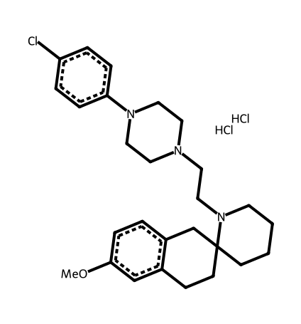 COc1ccc2c(c1)CCC1(CCCCN1CCN1CCN(c3ccc(Cl)cc3)CC1)C2.Cl.Cl